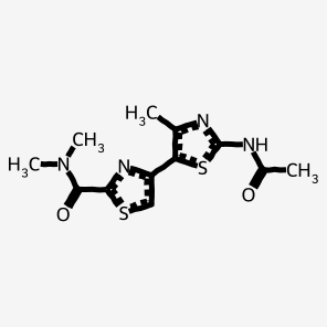 CC(=O)Nc1nc(C)c(-c2csc(C(=O)N(C)C)n2)s1